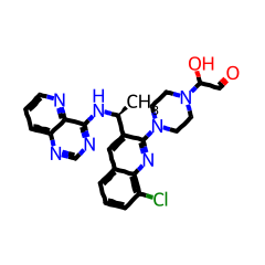 C[C@H](Nc1ncnc2cccnc12)c1cc2cccc(Cl)c2nc1N1CCN(C(O)C=O)CC1